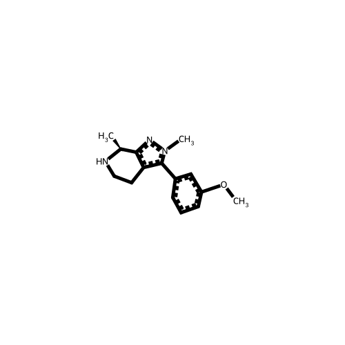 COc1cccc(-c2c3c(nn2C)[C@H](C)NCC3)c1